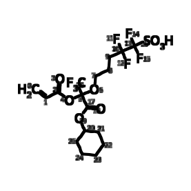 C=CC(=O)OC(OCCCC(F)(F)C(F)(F)S(=O)(=O)O)(C(=O)OC1CCCCC1)C(F)(F)F